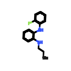 CC(C)(C)CCNc1ccccc1Nc1ccccc1F